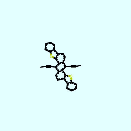 CC#Cc1c2ccc3c4ccccc4sc3c2c(C#CC)c2ccc3c4ccccc4sc3c12